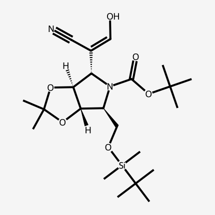 CC(C)(C)OC(=O)N1[C@@H](CO[Si](C)(C)C(C)(C)C)[C@@H]2OC(C)(C)O[C@H]2[C@@H]1/C(C#N)=C/O